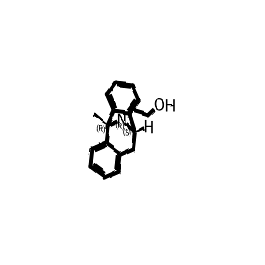 C[C@@]12c3ccccc3C[C@@H](c3ccccc31)[N@@+]2(C)CCO